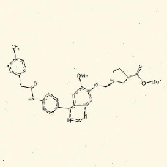 COc1cc2c(-c3ccc(NC(=O)Cc4ccc(C(F)(F)F)cc4)cc3)ncnc2cc1OC[C@H]1CCN(C(=O)OC(C)(C)C)C1